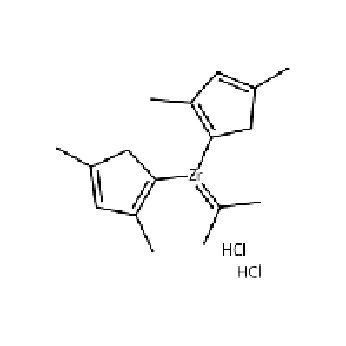 CC1=CC(C)=[C]([Zr]([C]2=C(C)C=C(C)C2)=[C](C)C)C1.Cl.Cl